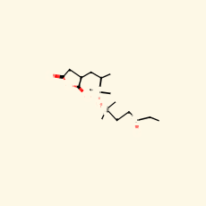 CC[Si](=O)CC[Si](C)(C)O[Si](C)(C)C(C)CC1CC(=O)OC1=O